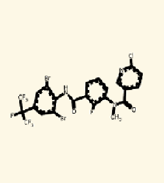 CN(C(=O)c1ccc(Cl)nc1)c1cccc(C(=O)Nc2c(Br)cc(C(F)(C(F)(F)F)C(F)(F)F)cc2Br)c1F